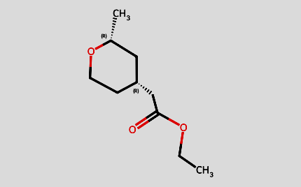 CCOC(=O)C[C@@H]1CCO[C@H](C)C1